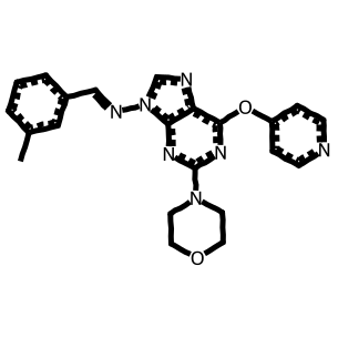 Cc1cccc(/C=N/n2cnc3c(Oc4ccncc4)nc(N4CCOCC4)nc32)c1